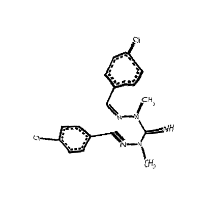 CN(N=Cc1ccc(Cl)cc1)C(=N)N(C)N=Cc1ccc(Cl)cc1